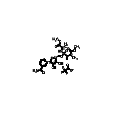 COC(=O)[C@H](C)NP(=O)(N[C@@H](C)C(=O)OC)OC[C@H]1O[C@@H]([n+]2cccc(C(N)=O)c2)[C@H](O)[C@@H]1O.O=C([O-])C(F)(F)F